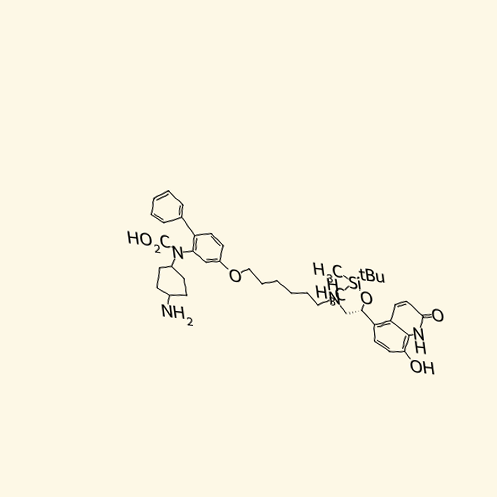 CC(C)(C)[Si](C)(C)O[C@@H](CNCCCCCCOc1ccc(-c2ccccc2)c(N(C(=O)O)C2CCC(N)CC2)c1)c1ccc(O)c2[nH]c(=O)ccc12